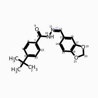 CC(C)(C)c1ccc(C(=O)N/N=C\c2ccc3c(c2)OCO3)cc1